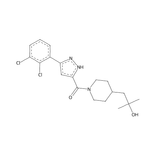 CC(C)(O)CC1CCN(C(=O)c2cc(-c3cccc(Cl)c3Cl)n[nH]2)CC1